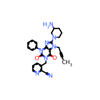 CC#CCn1c(N2CCCC(N)C2)nc2c1c(=O)n(Cc1cccnc1C#N)c(=O)n2-c1ccccc1